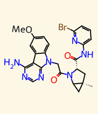 COc1ccc2c(c1)c1c(N)ncnc1n2CC(=O)N1C2C[C@]2(C)C[C@H]1C(=O)Nc1cccc(Br)n1